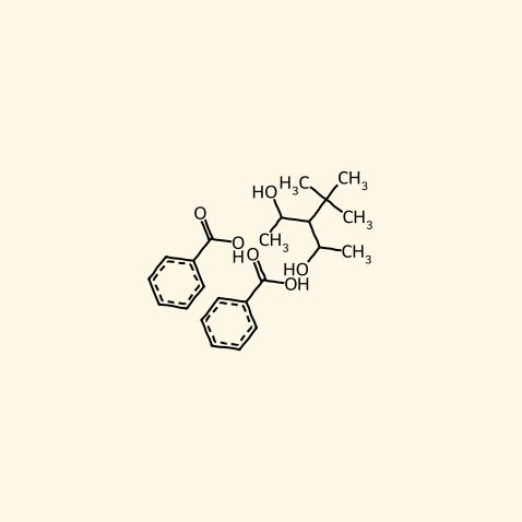 CC(O)C(C(C)O)C(C)(C)C.O=C(O)c1ccccc1.O=C(O)c1ccccc1